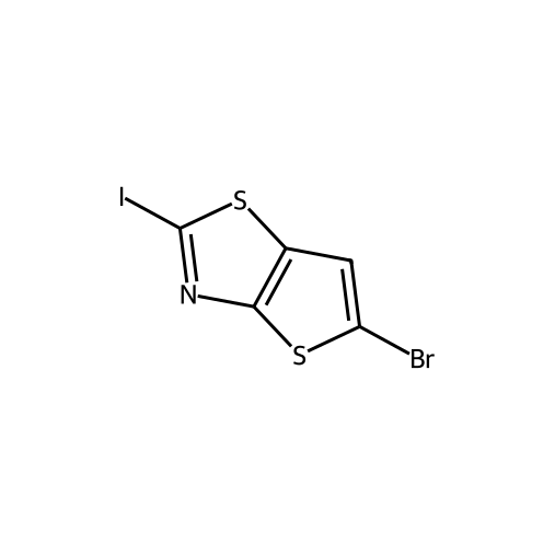 Brc1cc2sc(I)nc2s1